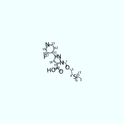 C[Si](C)(C)CCOCn1nc(-c2ccncc2F)cc1C(=O)O